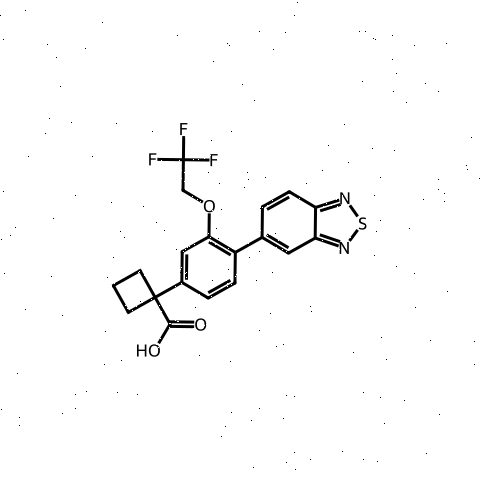 O=C(O)C1(c2ccc(-c3ccc4nsnc4c3)c(OCC(F)(F)F)c2)CCC1